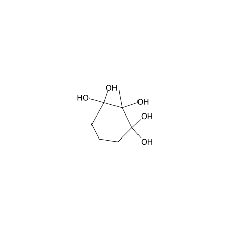 CC1(O)C(O)(O)CCCC1(O)O